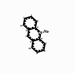 [Na].c1ccc2nc3ccccc3cc2c1